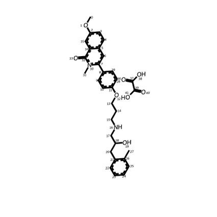 COc1ccc2cc(-c3ccc(OCCCNCC(O)Cc4ccccc4C)cc3)n(C)c(=O)c2c1.O=C(O)C(=O)O